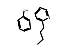 CCCCc1ccccn1.Oc1ccccc1